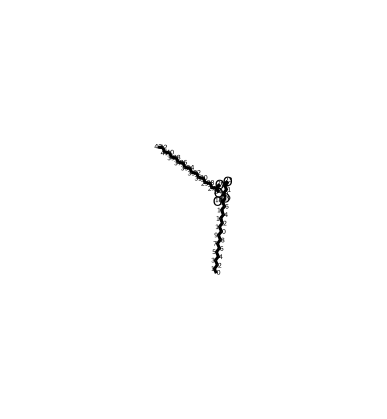 CCCCCCCCCCCCCCCCCC(=O)OC(CC=O)OC(=O)CCCCCCCCCCCCCCCCC